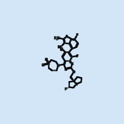 N#Cc1c(N)sc2c(F)ccc(-c3c(Cl)cc4c(N5CCCS(=O)(=O)CC5)nc(OC[C@@]56CCCN5C[C@H](F)C6)nc4c3F)c12